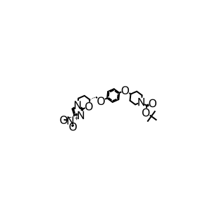 CC(C)(C)OC(=O)N1CCC(Oc2ccc(OC[C@H]3CCn4cc([N+](=O)[O-])nc4O3)cc2)CC1